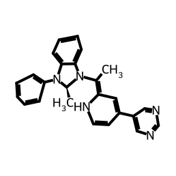 C/C(=C1\C=C(c2cncnc2)C=CN1)N1c2ccccc2N(c2ccccc2)[C@@H]1C